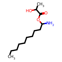 CCCCCCCCCC(N)OC(=O)C(C)O